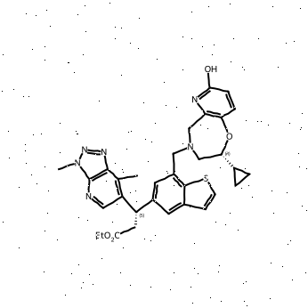 CCOC(=O)C[C@@H](c1cc(CN2Cc3nc(O)ccc3O[C@H](C3CC3)C2)c2sccc2c1)c1cnc2c(nnn2C)c1C